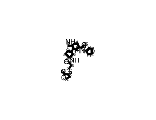 NCc1ccc(C(=O)Nc2ccncc2F)cc1-c1cccc(NC(=O)CCSC2CCOC2=O)c1